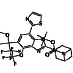 COC(C)(c1cc(-c2nccs2)c2oc(N3CC4CC(C3)N4C(=O)OC(C)(C)C)nc2c1OC(F)(F)F)C(F)(F)F